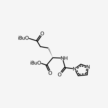 CC(C)COC(=O)CC[C@H](NC(=O)n1ccnc1)C(=O)OCC(C)C